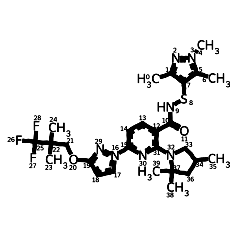 Cc1nn(C)c(C)c1SNC(=O)c1ccc(-n2ccc(OCC(C)(C)C(F)(F)F)n2)nc1N1CC(C)CC1(C)C